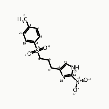 Cc1ccc(S(=O)(=O)CCCc2c[nH]c([N+](=O)[O-])n2)cc1